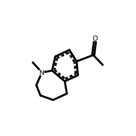 CC(=O)c1ccc2c(c1)CCCCN2C